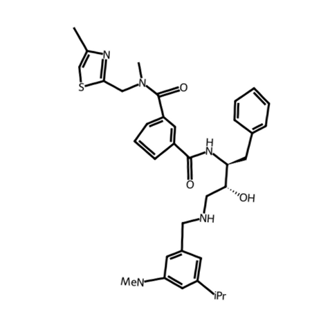 CNc1cc(CNC[C@@H](O)[C@H](Cc2ccccc2)NC(=O)c2cccc(C(=O)N(C)Cc3nc(C)cs3)c2)cc(C(C)C)c1